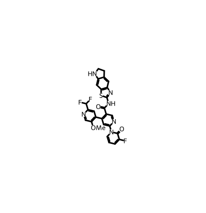 COc1cnc(C(F)F)cc1-c1cc(-n2cccc(F)c2=O)ncc1C(=O)Nc1nc2cc3c(cc2s1)NCC3